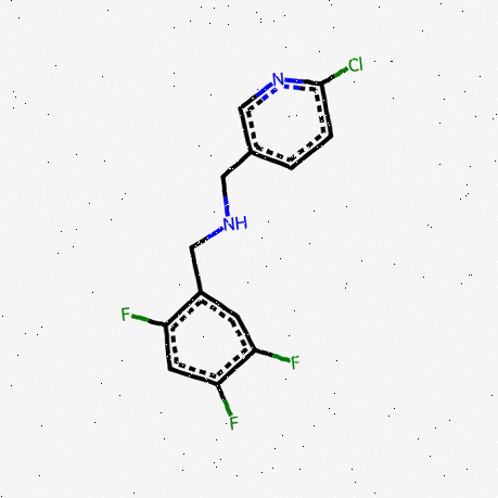 Fc1cc(F)c(CNCc2ccc(Cl)nc2)cc1F